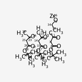 CC(=O)CC(=O)OC(C)(C)C.CC(=O)CC(=O)OC(C)(C)C.CC(=O)CC(=O)OC(C)(C)C.CC[O][Zr]